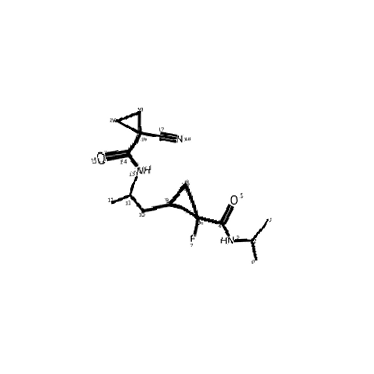 CC(C)NC(=O)C1(F)CC1CC(C)NC(=O)C1(C#N)CC1